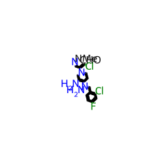 CN/N=C\C(=C(\Cl)C=O)N1CCC(N(N)Cc2ccc(F)cc2Cl)=C(N)C1